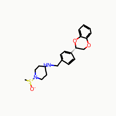 C[S+]([O-])N1CCC(NCc2ccc([C@H]3COc4ccccc4O3)cc2)CC1